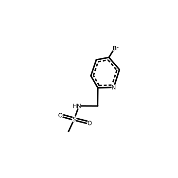 CS(=O)(=O)NCc1ccc(Br)cn1